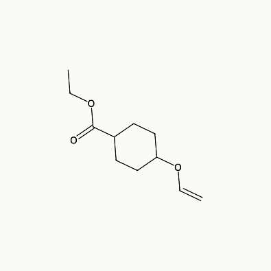 C=COC1CCC(C(=O)OCC)CC1